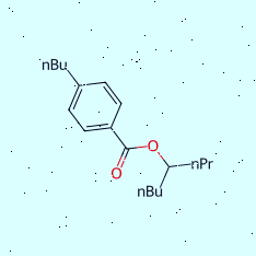 CCCCc1ccc(C(=O)OC(CCC)CCCC)cc1